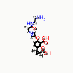 C[C@@H](CN1CC(Oc2ccc3c(c2C(=O)O)OB(O)[C@@H]2C[C@H]32)C1)C(=O)NCCN